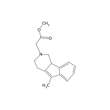 COC(=O)CN1CCC2=C(C)c3ccccc3C2C1